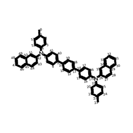 Cc1ccc(N(c2ccc(-c3ccc(-c4ccc(N(c5ccc(C)cc5)c5ccc6ccccc6c5)cc4)cc3)cc2)c2ccc3ccccc3c2)cc1